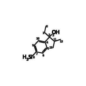 CCC(O)(c1ccc([SiH3])cc1)C(C)C